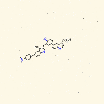 CN(C)c1ccc(-c2ccc3ncc(Cc4cc(-c5ccc6nccc(C(=O)O)c6c5)ccc4N(C)C)c(C#N)c3c2)cc1